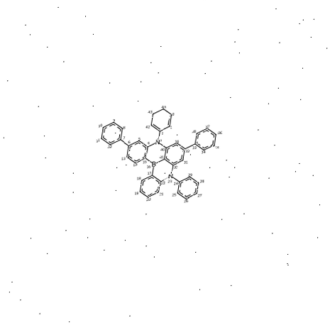 C1=CC(N2c3cc(-c4ccccc4)ccc3B3c4ccccc4N(c4ccccc4)c4cc(-c5ccccc5)cc2c43)=CCC1